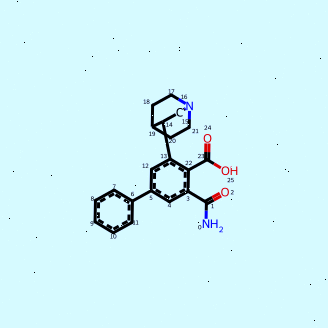 NC(=O)c1cc(-c2ccccc2)cc(C2CN3CCC2CC3)c1C(=O)O